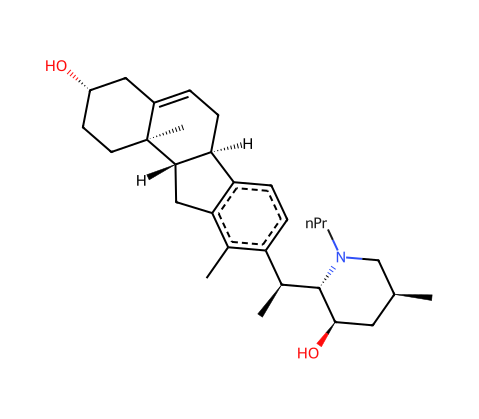 CCCN1C[C@@H](C)C[C@@H](O)[C@@H]1[C@@H](C)c1ccc2c(c1C)C[C@H]1[C@H]2CC=C2C[C@@H](O)CC[C@@]21C